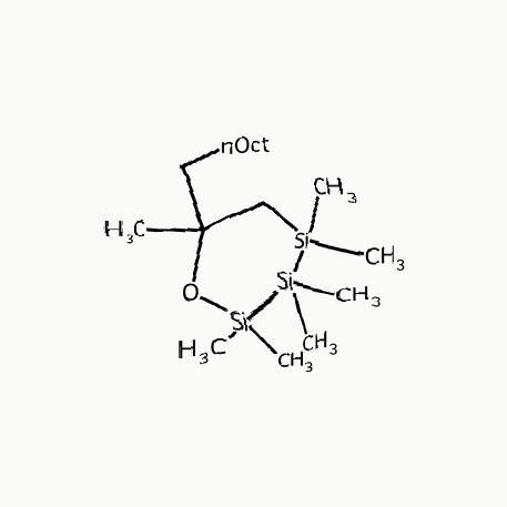 CCCCCCCCCC1(C)C[Si](C)(C)[Si](C)(C)[Si](C)(C)O1